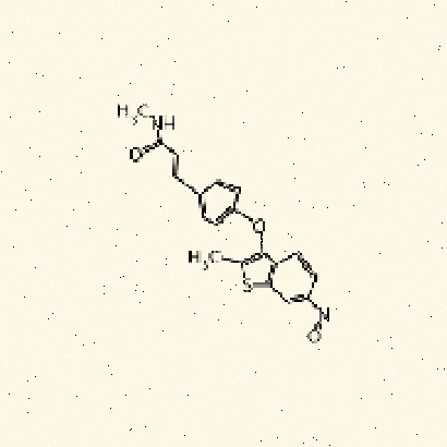 CNC(=O)/C=C/c1ccc(Oc2c(C)sc3cc(N=O)ccc23)cc1